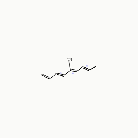 C=C/C=C/C(C#N)=C/C=C/C